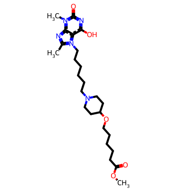 COC(=O)CCCCCOC1CCN(CCCCCCn2c(C)nc3c2c(O)nc(=O)n3C)CC1